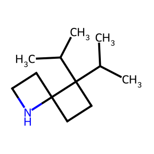 CC(C)C1(C(C)C)CCC12CCN2